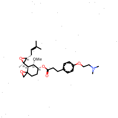 CO[C@@H]1[C@H](OC(=O)CCc2ccc(OCCN(C)C)cc2)CCC2(CO2)[C@H]1[C@@]1(C)O[C@@H]1CC=C(C)C